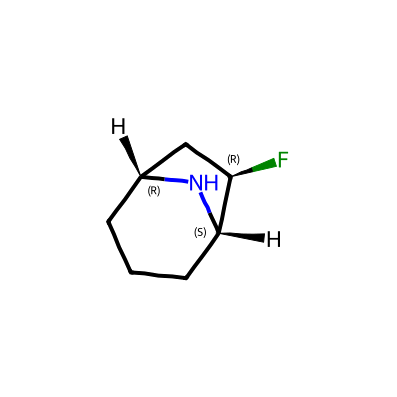 F[C@@H]1C[C@H]2CCC[C@@H]1N2